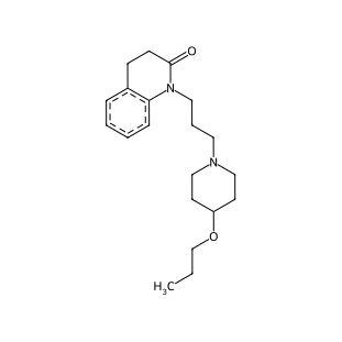 CCCOC1CCN(CCCN2C(=O)CCc3ccccc32)CC1